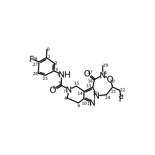 Cc1cc(NC(=O)N2CCc3nn4c(c3C2)C(=O)N(C)OC(CF)C4)ccc1F